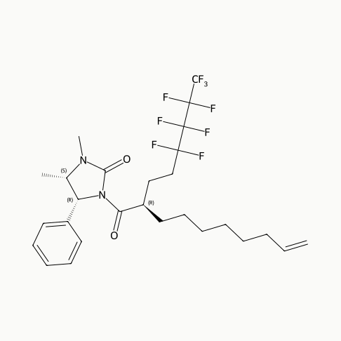 C=CCCCCCC[C@H](CCC(F)(F)C(F)(F)C(F)(F)C(F)(F)F)C(=O)N1C(=O)N(C)[C@@H](C)[C@H]1c1ccccc1